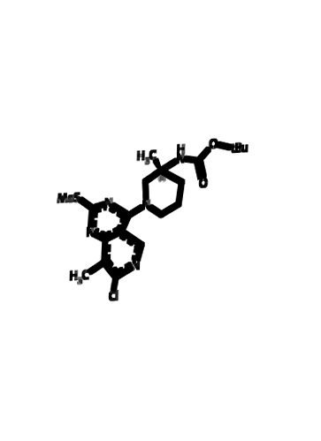 CSc1nc(N2CCC[C@@](C)(NC(=O)OC(C)(C)C)C2)c2cnc(Cl)c(C)c2n1